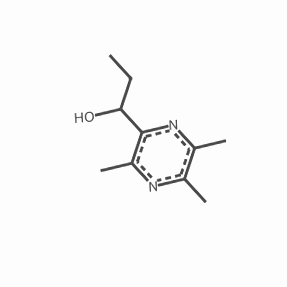 CCC(O)c1nc(C)c(C)nc1C